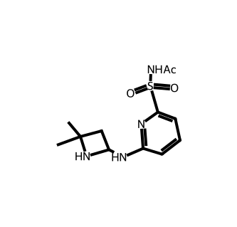 CC(=O)NS(=O)(=O)c1cccc(NC2CC(C)(C)N2)n1